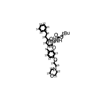 CC(C)(C)OC(=O)NNC(=O)[C@H](Cc1ccc(OCCN2CCOCC2)cc1)C[C@@H](O)CCc1ccccc1